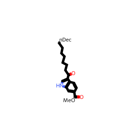 CCCCCCCCCCCCCCCCCC(=O)c1c[nH]c2cc(C(=O)OC)ccc12